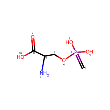 C=P(O)(O)OCC(N)C(=O)O